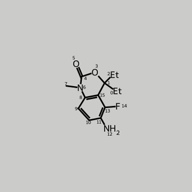 CCC1(CC)OC(=O)N(C)c2ccc(N)c(F)c21